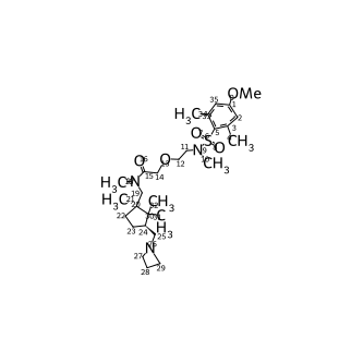 COc1cc(C)c(S(=O)(=O)N(C)CCOCC(=O)N(C)C[C@]2(C)CC[C@H](CN3CCC3)C2(C)C)c(C)c1